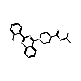 CC(C)OC(=O)N1CCN(c2nc(-c3ccccc3Cl)nc3ccccc23)CC1